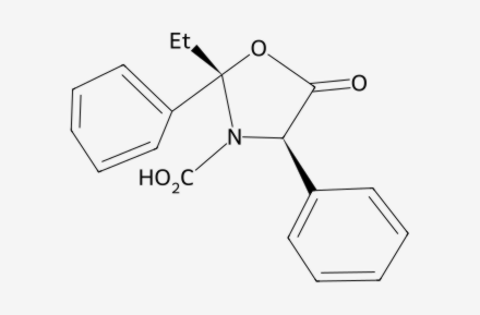 CC[C@@]1(c2ccccc2)OC(=O)[C@@H](c2ccccc2)N1C(=O)O